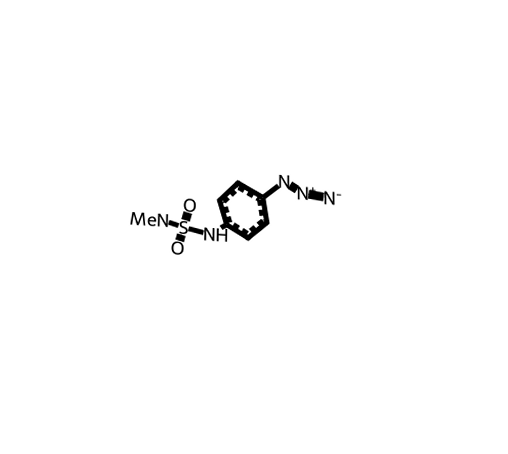 CNS(=O)(=O)Nc1ccc(N=[N+]=[N-])cc1